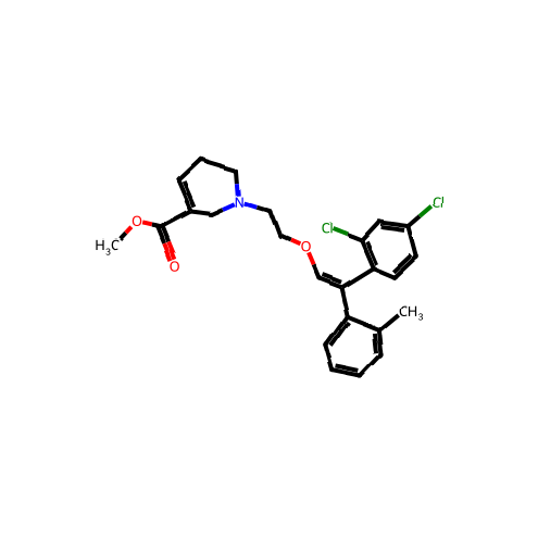 COC(=O)C1=CCCN(CCOC=C(c2ccccc2C)c2ccc(Cl)cc2Cl)C1